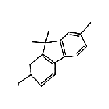 Cc1ccc2c(c1)C(C)(C)C1=C2C=CC(I)C1